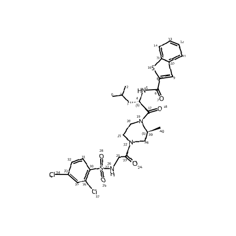 CC(C)C[C@H](NC(=O)c1cc2ccccc2s1)C(=O)N1CCN(C(=O)CNS(=O)(=O)c2ccc(Cl)cc2Cl)C[C@@H]1C